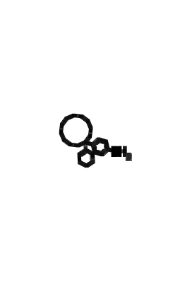 Bc1ccc(C2(C3=CCCC=C3)CCCCCCCCCCC2)cc1